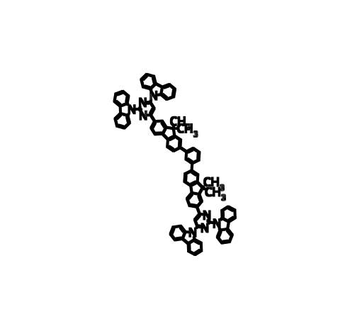 CC1(C)c2cc(-c3cccc(-c4ccc5c(c4)C(C)(C)c4cc(-c6cc(-n7c8ccccc8c8ccccc87)nc(-n7c8ccccc8c8ccccc87)n6)ccc4-5)c3)ccc2-c2ccc(-c3cc(-n4c5ccccc5c5ccccc54)nc(-n4c5ccccc5c5ccccc54)n3)cc21